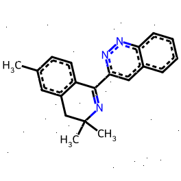 Cc1ccc2c(c1)CC(C)(C)N=C2c1cc2ccccc2nn1